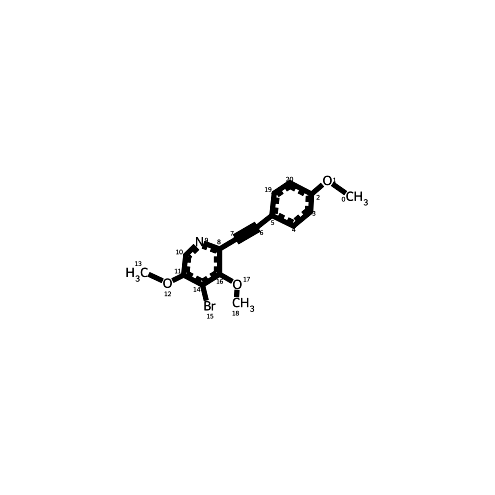 COc1ccc(C#Cc2ncc(OC)c(Br)c2OC)cc1